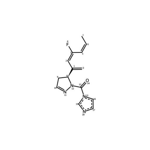 C=C(/C=C(F)\C=C/C)[C@@H]1CC=NN1C(=O)n1ccnc1